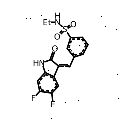 CCNS(=O)(=O)c1cccc(C=C2C(=O)Nc3cc(F)c(F)cc32)c1